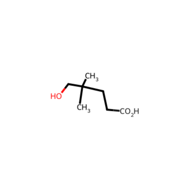 CC(C)(CO)CCC(=O)O